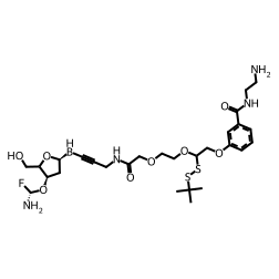 CC(C)(C)SSC(COc1cccc(C(=O)NCCN)c1)OCCOCC(=O)NCC#CB[C@H]1C[C@@H](O[C@H](N)F)C(CO)O1